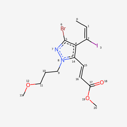 C/C=C(/I)c1c(Br)nn(CCCOC)c1/C=C/C(=O)OC